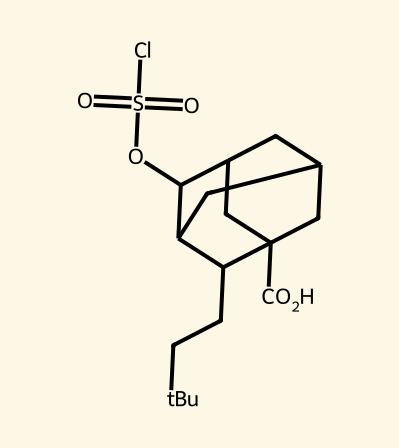 CC(C)(C)CCC1C2CC3CC(CC1(C(=O)O)C3)C2OS(=O)(=O)Cl